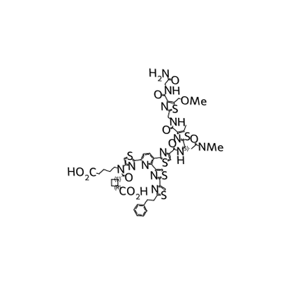 CNC(=O)C[C@H](NC(=O)c1csc(-c2ccc(-c3nc(N(CCCCC(=O)O)C(=O)[C@H]4CC[C@H]4C(=O)O)cs3)nc2-c2csc(-c3csc(CCc4ccccc4)n3)n2)n1)c1nc(C(=O)NCc2nc(C(=O)NCC(N)=O)c(COC)s2)c(C)s1